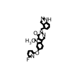 Cn1c2cc(Oc3cccc(F)n3)ccc2c2cnn(Cc3cccc4[nH]ncc34)c(=O)c21